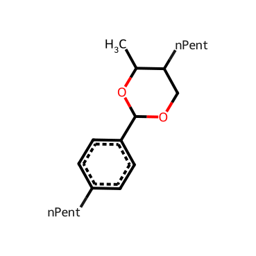 CCCCCc1ccc(C2OCC(CCCCC)C(C)O2)cc1